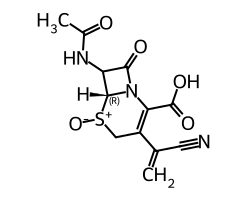 C=C(C#N)C1=C(C(=O)O)N2C(=O)C(NC(C)=O)[C@H]2[S+]([O-])C1